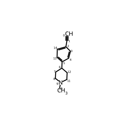 C#Cc1ccc(C2CCN(C)CC2)cc1